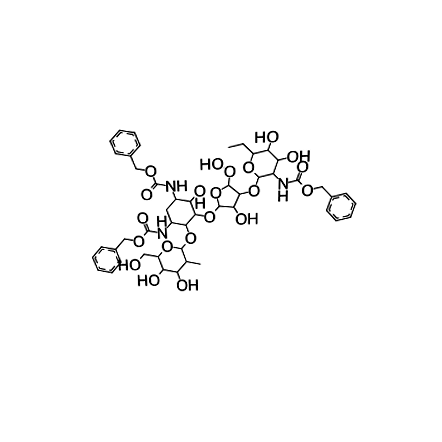 CCC1OC(OC2C(OO)OC(OC3C(O)C(NC(=O)OCc4ccccc4)CC(NC(=O)OCc4ccccc4)C3OC3OC(CO)C(O)C(O)C3C)C2O)C(NC(=O)OCc2ccccc2)C(O)C1O